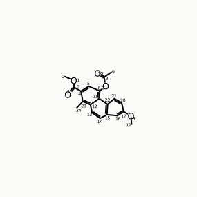 COC(=O)c1cc(OC(C)=O)c2c(ccc3cc(OC)ccc32)c1C